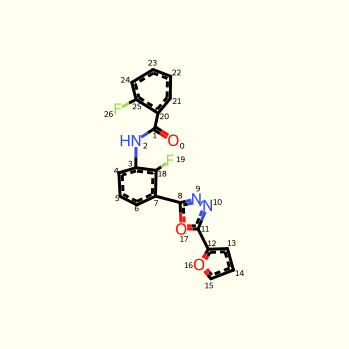 O=C(Nc1cccc(-c2nnc(-c3ccco3)o2)c1F)c1ccccc1F